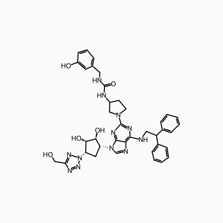 O=C(NCc1cccc(O)c1)NC1CCN(c2nc(NCC(c3ccccc3)c3ccccc3)c3ncn([C@@H]4C[C@H](n5nnc(CO)n5)[C@@H](O)[C@H]4O)c3n2)C1